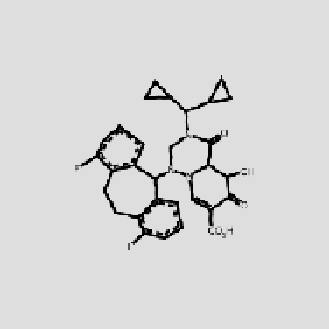 O=C(O)C1=CN2C(C(=O)N(C(C3CC3)C3CC3)CN2C2c3cccc(F)c3CCc3c(F)cccc32)C(O)C1=O